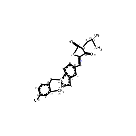 CC[C@H](N)CN1C(=O)S/C(=C\c2ccc3c(cnn3Cc3ccc(Cl)cc3C(F)(F)F)c2)C1=O